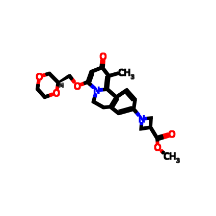 COC(=O)C1CN(c2ccc3c(c2)CCn2c(OC[C@@H]4COCCO4)cc(=O)c(C)c2-3)C1